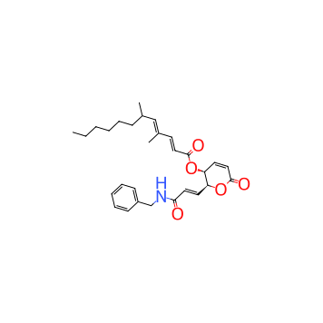 CCCCCCC(C)/C=C(C)/C=C/C(=O)O[C@H]1C=CC(=O)O[C@H]1/C=C/C(=O)NCc1ccccc1